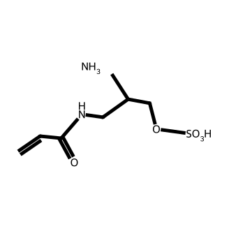 C=CC(=O)NCC(C)COS(=O)(=O)O.N